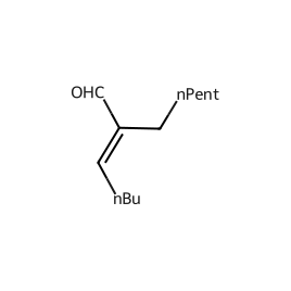 CCCC/C=C(/C=O)CCCCCC